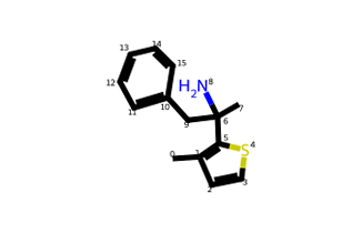 Cc1ccsc1C(C)(N)Cc1ccccc1